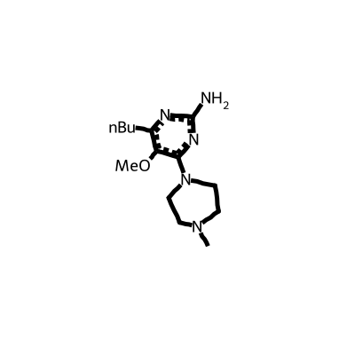 CCCCc1nc(N)nc(N2CCN(C)CC2)c1OC